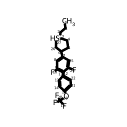 CCC[SiH]1CCC(c2cc(F)c(-c3ccc(OC(F)(F)F)cc3)c(F)c2)CC1